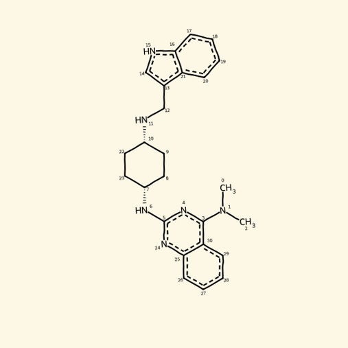 CN(C)c1nc(N[C@H]2CC[C@@H](NCc3c[nH]c4ccccc34)CC2)nc2ccccc12